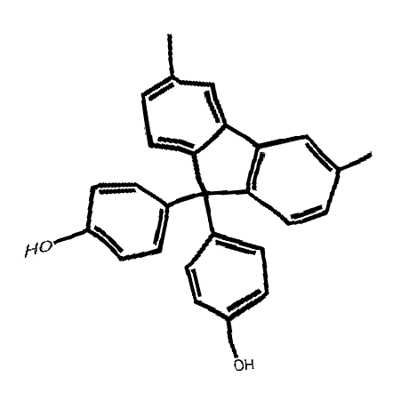 Cc1ccc2c(c1)-c1cc(C)ccc1C2(c1ccc(O)cc1)c1ccc(O)cc1